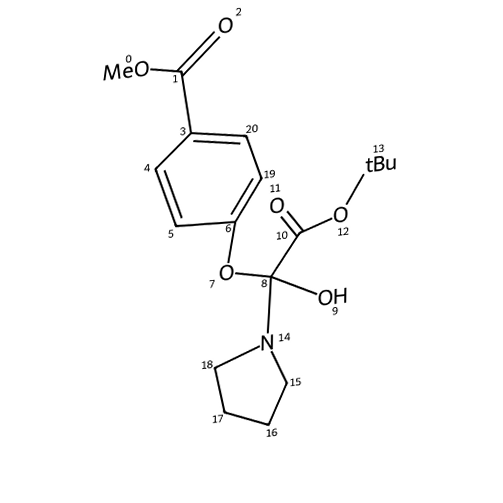 COC(=O)c1ccc(OC(O)(C(=O)OC(C)(C)C)N2CCCC2)cc1